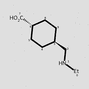 CCNC[C@H]1CC[C@H](C(=O)O)CC1